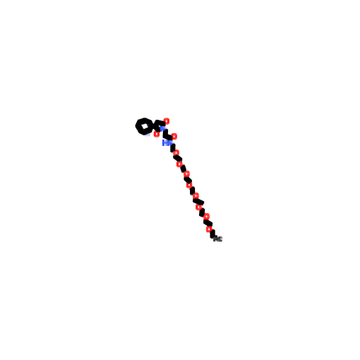 CC(=O)CCOCCOCCOCCOCCOCCOCCOCCOCCNC(=O)CCN1C(=O)CC(C2=C/C=C\C=C/C=C\2)C1=O